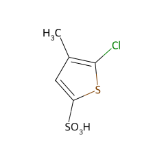 Cc1cc(S(=O)(=O)O)sc1Cl